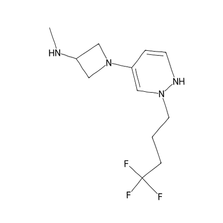 CNC1CN(C2=CN(CCCC(F)(F)F)NC=C2)C1